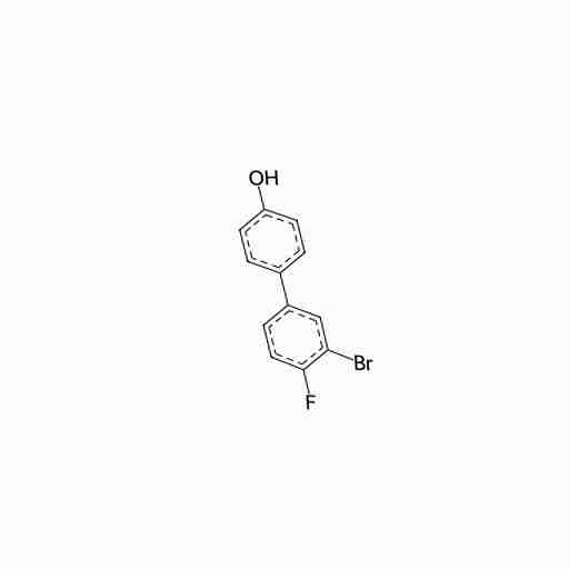 Oc1ccc(-c2ccc(F)c(Br)c2)cc1